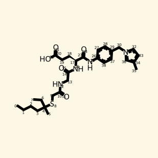 CCCCC(C)(CC)SCC(=O)NCC(=O)N[C@@H](CCC(=O)O)C(=O)Nc1ccc(Cn2ccc(C)c2)cc1